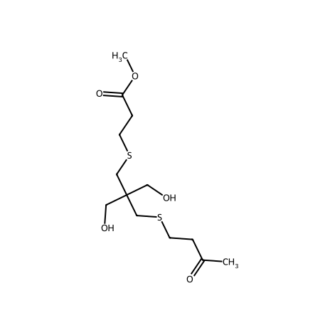 COC(=O)CCSCC(CO)(CO)CSCCC(C)=O